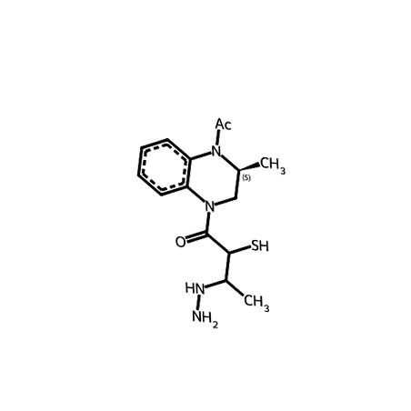 CC(=O)N1c2ccccc2N(C(=O)C(S)C(C)NN)C[C@@H]1C